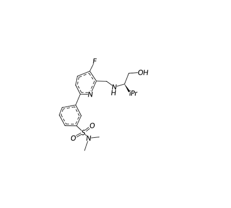 CC(C)[C@H](CO)NCc1nc(-c2cccc(S(=O)(=O)N(C)C)c2)ccc1F